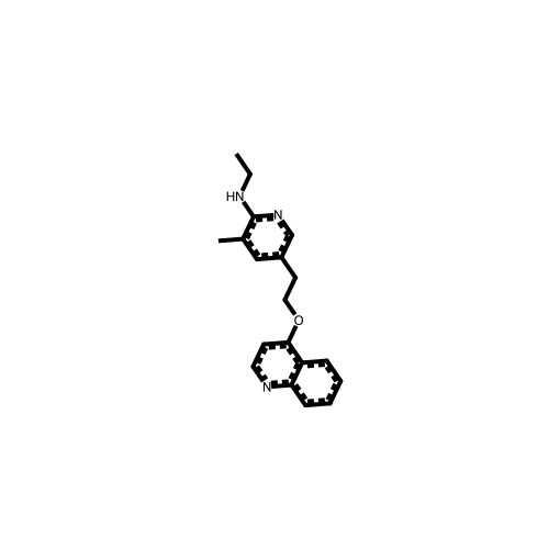 CCNc1ncc(CCOc2ccnc3ccccc23)cc1C